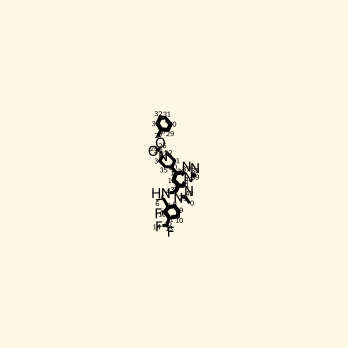 Cc1nc(N[C@H](C)c2cccc(C(F)F)c2F)c2cc(C3CCN(C(=O)OCc4ccccc4)CC3)c3nncn3c2n1